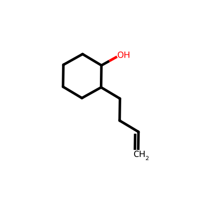 C=CCCC1CCCCC1O